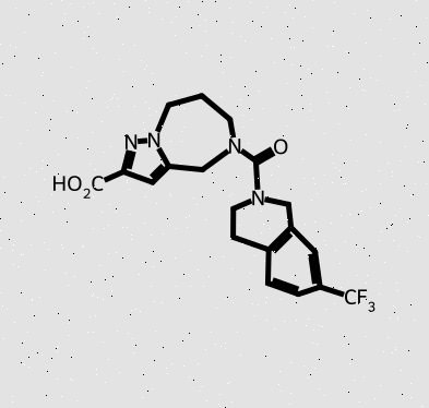 O=C(O)c1cc2n(n1)CCCN(C(=O)N1CCc3ccc(C(F)(F)F)cc3C1)C2